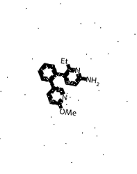 CCc1nc(N)ccc1-c1ccccc1-c1ccc(OC)nc1